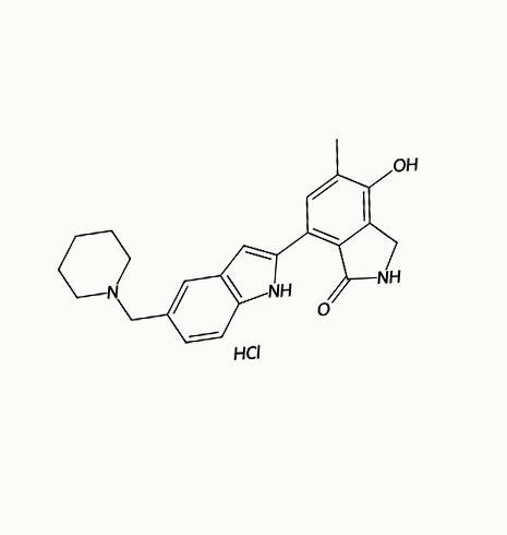 Cc1cc(-c2cc3cc(CN4CCCCC4)ccc3[nH]2)c2c(c1O)CNC2=O.Cl